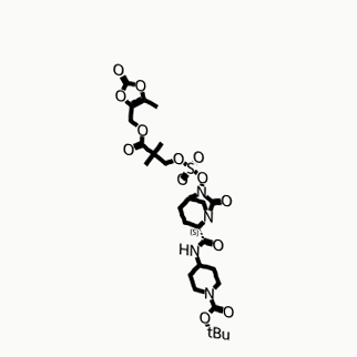 Cc1oc(=O)oc1COC(=O)C(C)(C)COS(=O)(=O)ON1C(=O)N2CC1CC[C@H]2C(=O)NC1CCN(C(=O)OC(C)(C)C)CC1